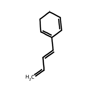 C=CC=CC1=CC[CH]C=C1